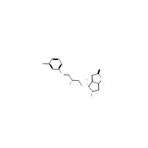 O=C1C[C@@H]2[C@@H](CC[C@@H](O)COc3cccc(Cl)c3)[C@H](O)C[C@@H]2O1